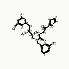 CCc1cccc(CN(C[C@@H](O)[C@@H](N)Cc2cc(F)cc(F)c2)C(=O)CCC(=O)c2cccs2)c1